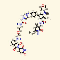 CCN(c1cc(-c2ccc(CN3CCN(CC(=O)NCCCOCCNC4CC=CC5=C4C(=O)N(C4CCC(=O)NC4=O)C5=O)CC3)cc2)cc(C(=O)NCc2c(C)cc(C)[nH]c2=O)c1C)C1CCOCC1